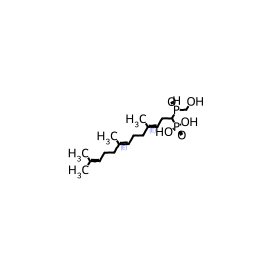 CC(C)=CCC/C(C)=C/CC/C(C)=C/CC([PH](=O)CO)P(=O)(O)O